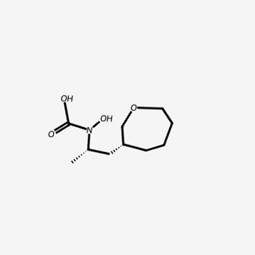 C[C@@H](C[C@H]1CCCCOC1)N(O)C(=O)O